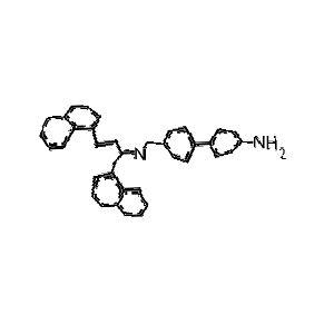 Nc1ccc(-c2ccc(C/N=C(\C=C\c3cccc4ccccc34)c3cccc4ccccc34)cc2)cc1